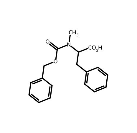 CN(C(=O)OCc1ccccc1)C(Cc1ccccc1)C(=O)O